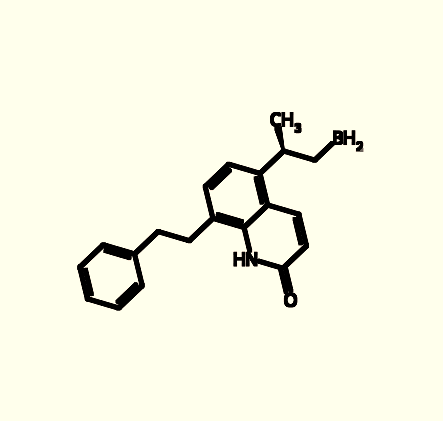 BC[C@H](C)c1ccc(CCc2ccccc2)c2[nH]c(=O)ccc12